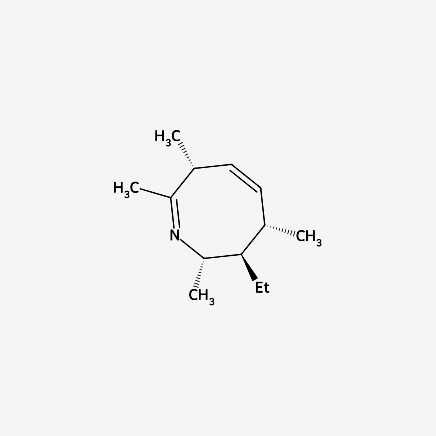 CC[C@H]1[C@H](C)/N=C(/C)[C@H](C)/C=C\[C@@H]1C